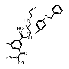 CCCN(CCC)C(=O)c1cc(C)cc(C(=O)N[C@@H](Cc2ccc(OCc3ccccc3)cc2)[C@H](O)CNCCC(C)C)c1